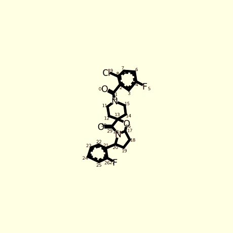 O=C(c1cc(F)ccc1Cl)N1CCC2(CC1)OC1CCC(c3ccccc3F)N1C2=O